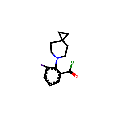 O=C(Cl)c1cccc(I)c1N1CCC2(CC1)CC2